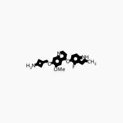 COc1cc2c(Oc3ccc4[nH]c(C)cc4c3F)ccnc2cc1OCC1CC(N)C1